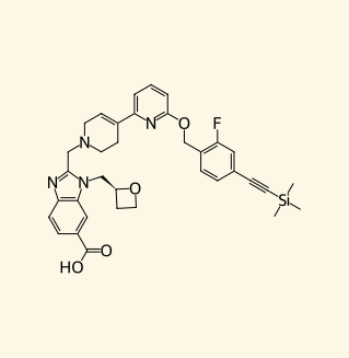 C[Si](C)(C)C#Cc1ccc(COc2cccc(C3=CCN(Cc4nc5ccc(C(=O)O)cc5n4C[C@@H]4CCO4)CC3)n2)c(F)c1